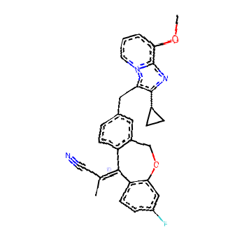 COc1cccn2c(Cc3ccc4c(c3)COc3cc(F)ccc3/C4=C(\C)C#N)c(C3CC3)nc12